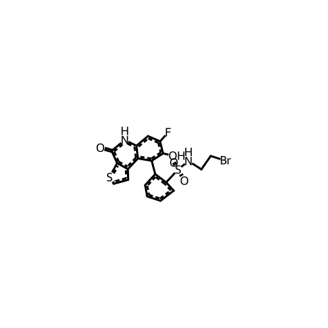 O=c1[nH]c2cc(F)c(O)c(-c3ccccc3S(=O)(=O)NCCBr)c2c2ccsc12